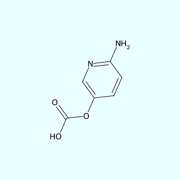 Nc1ccc(OC(=O)O)cn1